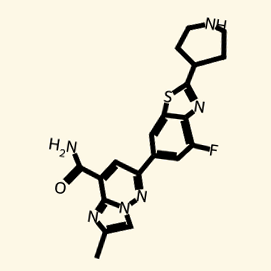 Cc1cn2nc(-c3cc(F)c4nc(C5CCNCC5)sc4c3)cc(C(N)=O)c2n1